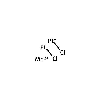 [Cl][Pt-].[Cl][Pt-].[Mn+2]